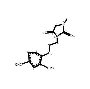 COc1cc(C=O)ccc1OCCN1C(=O)CN(C)C1=O